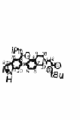 CC(C)C(Oc1cccc2c1CCN(CC(=O)OC(C)(C)C)C2)c1ccc2[nH]ncc2c1